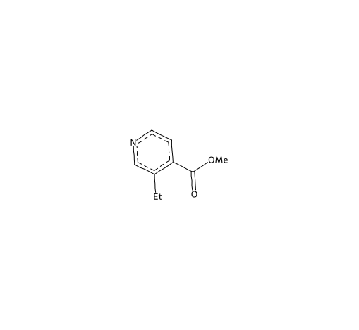 CCc1cnccc1C(=O)OC